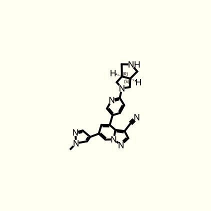 Cn1cc(-c2cc(-c3ccc(N4C[C@H]5CNC[C@H]5C4)nc3)c3c(C#N)cnn3c2)cn1